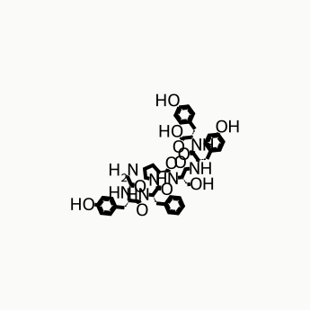 NCC(=O)N[C@@H](Cc1ccc(O)cc1)C(=O)N[C@@H](Cc1ccccc1)C(=O)N1CCC[C@H]1C(=O)N[C@@H](CO)C(=O)N[C@@H](Cc1ccc(O)cc1)C(=O)N[C@@H](Cc1ccc(O)cc1)C(=O)O